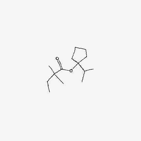 CCC(C)(C)C(=O)OC1(C(C)C)CCCC1